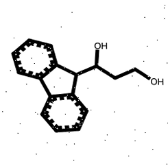 OCCC(O)C1c2ccccc2-c2ccccc21